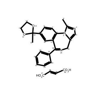 Cc1ncc2n1-c1ccc(C3(C)OCCO3)cc1C(c1ccccc1)=NC2.O=C(O)C=CC(=O)O